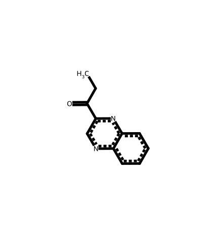 CCC(=O)c1cnc2ccccc2n1